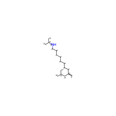 C=C(CCCCCCCCNC(C)C)CC(C)C